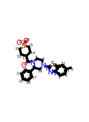 Cc1ccc2nc(N3CCN(C(=O)C4CCS(=O)(=O)CC4)C(c4ccccc4)C3)sc2c1